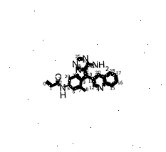 C=CC(=O)N[C@@H]1C=C(C)c2c(-c3cnc4ccccc4c3)c3c(N)ncnn3c2C1